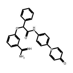 N=C(N)c1cccc(OC(C(=O)Nc2ccc(-n3ccc(=O)cc3)cc2)c2ccccc2)c1